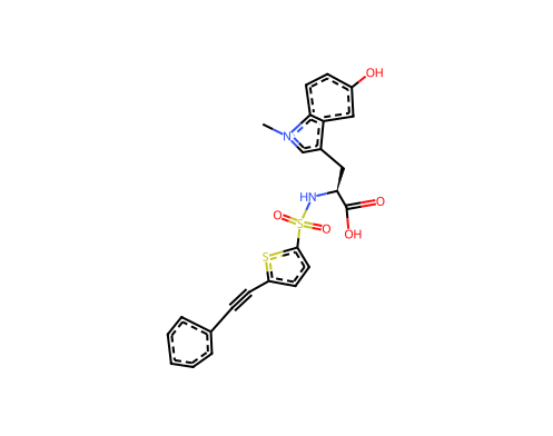 Cn1cc(C[C@H](NS(=O)(=O)c2ccc(C#Cc3ccccc3)s2)C(=O)O)c2cc(O)ccc21